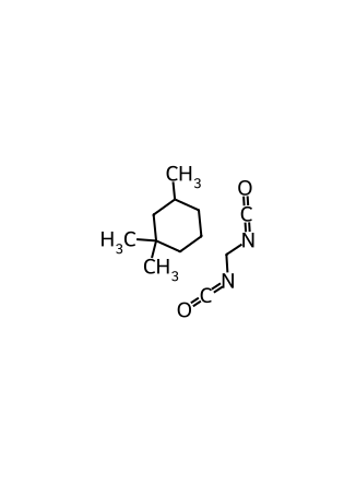 CC1CCCC(C)(C)C1.O=C=NCN=C=O